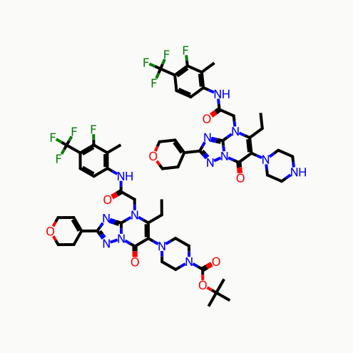 CCc1c(N2CCN(C(=O)OC(C)(C)C)CC2)c(=O)n2nc(C3=CCOCC3)nc2n1CC(=O)Nc1ccc(C(F)(F)F)c(F)c1C.CCc1c(N2CCNCC2)c(=O)n2nc(C3=CCOCC3)nc2n1CC(=O)Nc1ccc(C(F)(F)F)c(F)c1C